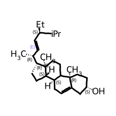 CC[C@H](/C=C/[C@@H](C)[C@H]1CC[C@H]2[C@@H]3CC=C4C[C@@H](O)CC[C@]4(C)C3CC[C@]12C)C(C)C